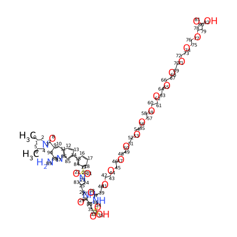 CCCN(CCC)C(=O)C1=Cc2ccc(-c3cccc(S(=O)(=O)N4CC(CNC(=O)[C@H](CS(=O)(=O)O)NC(=O)CCOCCOCCOCCOCCOCCOCCOCCOCCOCCOCCOCCOCCOCCC(=O)O)C4)c3)cc2N=C(N)C1